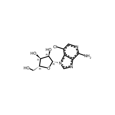 Nc1ncc(Cl)c2c1ncn2[C@@H]1O[C@H](CO)[C@@H](O)[C@H]1O